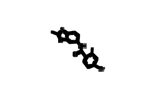 Cc1nc2cc(NC(=O)c3ccc(Br)cc3C)ccc2s1